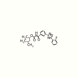 CC(C)CC(C)OC(=O)NC(=O)c1cccc(-c2noc(-c3ccccc3F)n2)c1